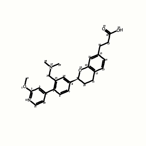 COc1cc(-c2ccc([C@@H]3CCc4ccc(CCC(=O)O)cc4O3)cc2CN(C)C)ccn1